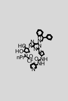 CCCN(C(=O)C(F)(F)F)[C@H]1C[C@@H](n2cnc3c(NCC(c4ccccc4)c4ccccc4)nc(N4CC[C@@H](NC(=O)Nc5cccnc5)C4)nc32)[C@H](O)[C@@H]1O